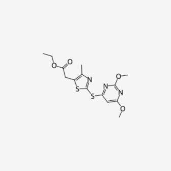 CCOC(=O)Cc1sc(Sc2cc(OC)nc(OC)n2)nc1C